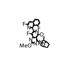 COc1nc2c3c(nc(-c4nc(F)cc5cccc(F)c45)c(F)c3n1)OCC1C3CCC(CN21)N3